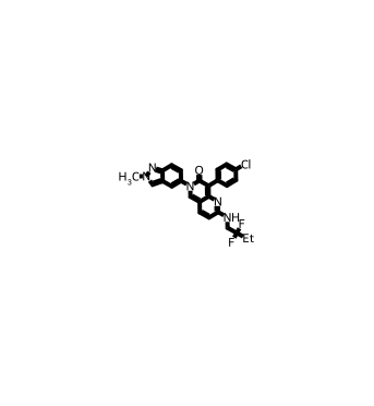 CCC(F)(F)CNc1ccc2cn(-c3ccc4nn(C)cc4c3)c(=O)c(-c3ccc(Cl)cc3)c2n1